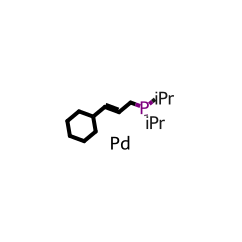 CC(C)P(CC=CC1CCCCC1)C(C)C.[Pd]